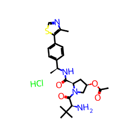 CC(=O)O[C@@H]1C[C@H](C(=O)N[C@@H](C)c2ccc(-c3scnc3C)cc2)N(C(=O)[C@@H](N)C(C)(C)C)C1.Cl